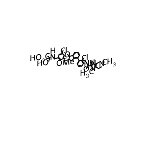 COc1c(CNC(CO)C(=O)O)cc(Cl)c(OC2CCc3c(-c4cccc(NC(=O)c5nc6c(n5C)CCN(C)C6)c4Cl)cccc32)c1F